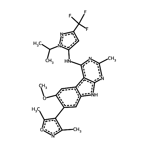 COc1cc2c(cc1-c1c(C)noc1C)[nH]c1nc(C)nc(Nc3cc(C(F)(F)F)nn3C(C)C)c12